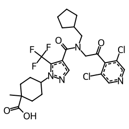 CC1(C(=O)O)CCC(n2ncc(C(=O)N(CC(=O)c3c(Cl)cncc3Cl)CC3CCCC3)c2C(F)(F)F)CC1